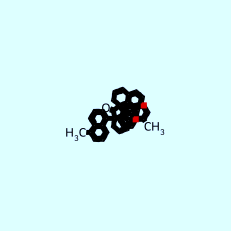 Cc1cccc2c(C3(C(=O)C4(c5cccc6c(C)cccc56)CC=Cc5ccccc54)CC=Cc4ccccc43)cccc12